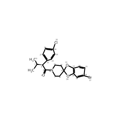 CC(C)[C@H](C(=O)N1CCC2(CC1)Oc1ccc(Br)cc1O2)c1ccc(Cl)cc1